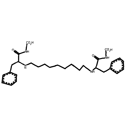 O=C(O)NC(=O)C(Cc1ccccc1)NCCCCCCCCCNC(Cc1ccccc1)C(=O)NC(=O)O